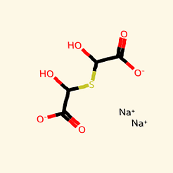 O=C([O-])C(O)SC(O)C(=O)[O-].[Na+].[Na+]